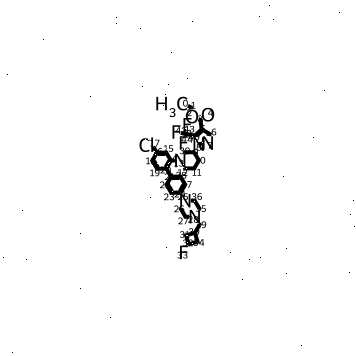 CCOC(=O)c1cnn(C2CCCN(c3cc(Cl)ccc3-c3ccc(N4CCN(CC5CC(F)C5)CC4)cc3)C2)c1C(F)(F)F